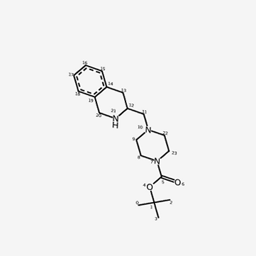 CC(C)(C)OC(=O)N1CCN(CC2Cc3ccccc3CN2)CC1